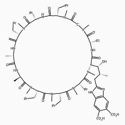 C=C1N[C@@H](C)C(=O)N[C@H](C)C(=O)N(C)[C@@H](CC(C)C)C(=O)N(C)[C@@H](CC(C)C)C(=O)N(C)[C@@H](C(C)C)C(=O)N(C)[C@@H]([C@H](O)[C@H](C)Cc2nc3cc(C(=O)O)c(C(=O)O)cc3[nH]2)C(=O)N[C@@H](CC)C(=O)N(C)CC(=O)N(C)[C@@H](CC(C)C)C(=O)N[C@@H](C(C)C)C(=O)N(C)[C@H]1CC(C)C